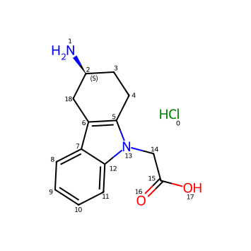 Cl.N[C@H]1CCc2c(c3ccccc3n2CC(=O)O)C1